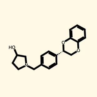 OC1CCN(Cc2ccc([C@H]3COc4ccccc4O3)cc2)C1